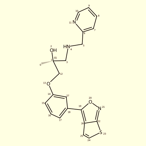 C[C@](O)(CNCc1ccccn1)COc1cccc(-c2onc3sccc23)c1